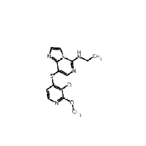 CCNc1ncc(Sc2ccnc(OC)c2Cl)c2nccn12